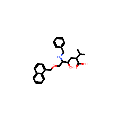 CC(C)C(CC(O)C(COCc1cccc2ccccc12)NCc1ccccc1)C(=O)O